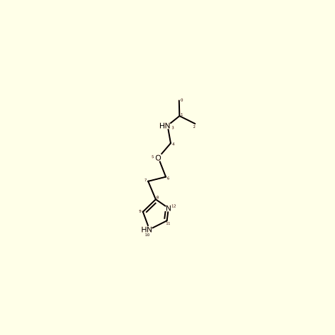 CC(C)NCOCCc1c[nH]cn1